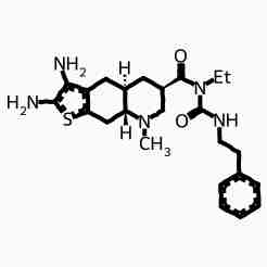 CCN(C(=O)NCCc1ccccc1)C(=O)[C@@H]1C[C@@H]2Cc3c(sc(N)c3N)C[C@H]2N(C)C1